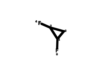 F[C]1CC1F